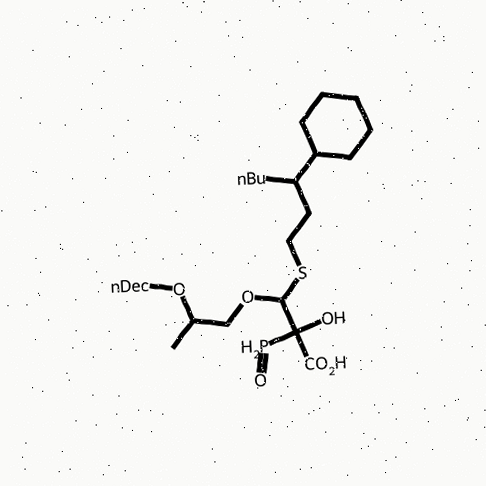 CCCCCCCCCCOC(C)COC(SCCC(CCCC)C1CCCCC1)C(O)([PH2]=O)C(=O)O